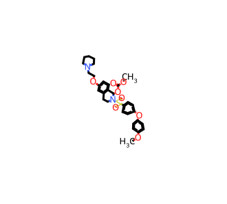 COC(=O)OC1c2ccc(OCCN3CCCCC3)cc2CCN1S(=O)(=O)c1ccc(Oc2ccc(OC)cc2)cc1